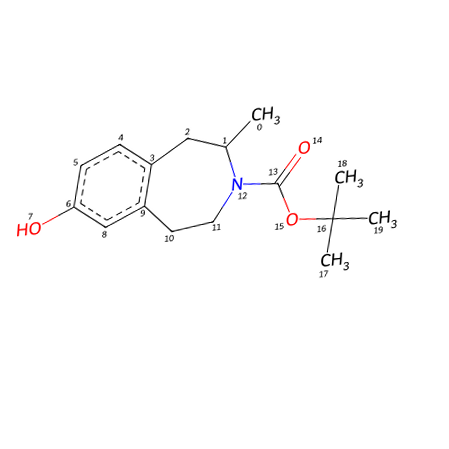 CC1Cc2ccc(O)cc2CCN1C(=O)OC(C)(C)C